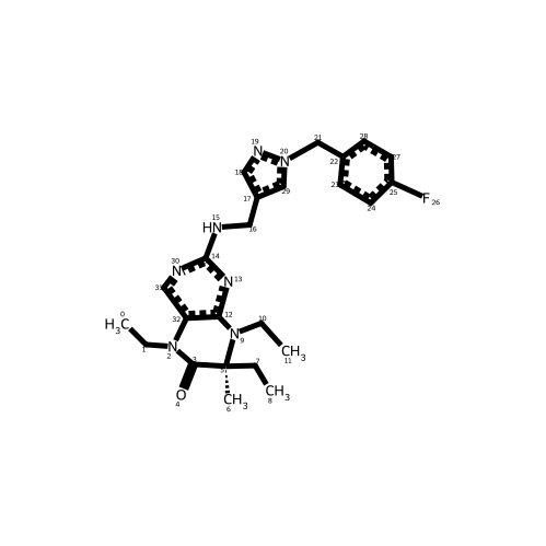 CCN1C(=O)[C@](C)(CC)N(CC)c2nc(NCc3cnn(Cc4ccc(F)cc4)c3)ncc21